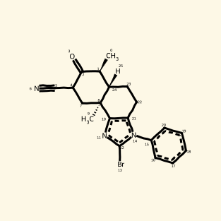 C[C@@H]1C(=O)C(C#N)C[C@]2(C)c3nc(Br)n(-c4ccccc4)c3CC[C@@H]12